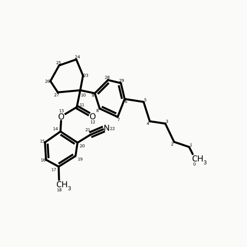 CCCCCCc1ccc(C2(C(=O)Oc3ccc(C)cc3C#N)CCCCC2)cc1